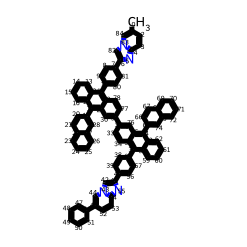 Cc1ccc2nc(-c3ccc(-c4c5ccccc5c(-c5ccc6ccccc6c5)c5cc(-c6ccc7c(-c8ccc(-c9cn%10cc(-c%11ccccc%11)ccc%10n9)cc8)c8ccccc8c(-c8ccc9ccccc9c8)c7c6)ccc45)cc3)cn2c1